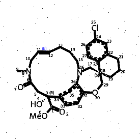 COC(=O)[C@@]1(O)CC(=O)N(C)C/C=C/CCCN2C[C@@]3(CCCc4cc(Cl)ccc43)COc3ccc1cc32